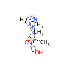 CCCC[C@H]1CN(CC2CCC(O)CC2)C(=O)OC12CCN(C1(C)CCN(C(=O)c3c(C)ncnc3C)CC1)CC2